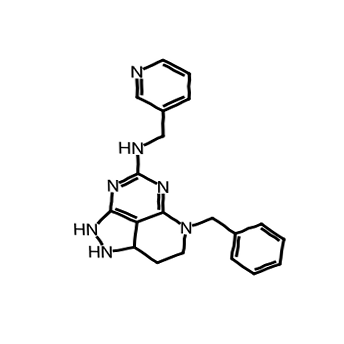 c1ccc(CN2CCC3NNc4nc(NCc5cccnc5)nc2c43)cc1